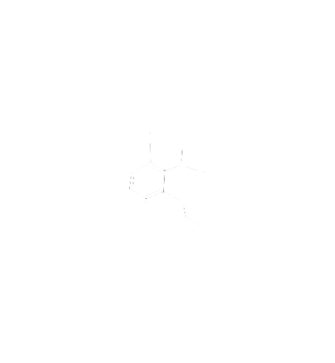 CCSc1cccc(F)c1B(O)O